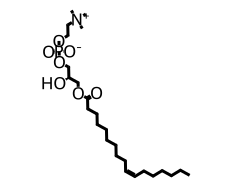 CCCCCC/C=C\CCCCCCCCC(=O)OC[C@@H](O)COP(=O)([O-])OCC[N+](C)(C)C